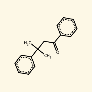 CC(C)(CC(=O)c1ccccc1)c1ccccc1